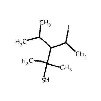 CC(C)C(C(C)I)C(C)(C)S